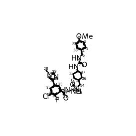 COc1ccc(CNC(=O)NC2CCC(CS(=O)(=O)NNC(=O)c3cc(-c4cn(C)cn4)cc(Cl)c3F)CC2)cc1